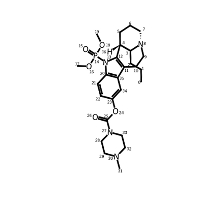 CCCC1[C@H]2CCC[N@]1CCc1c2n(P(=O)(OC)OC)c2ccc(OC(=O)N3CCN(C)CC3)cc12